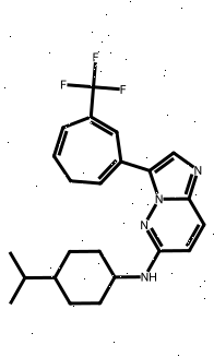 CC(C)C1CCC(Nc2ccc3ncc(C4=CCC=CC(C(F)(F)F)=C4)n3n2)CC1